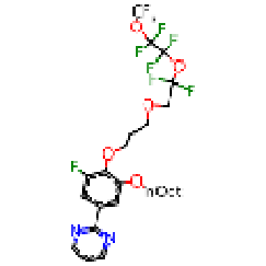 CCCCCCCCOc1cc(-c2ncccn2)cc(F)c1OCCCOCC(F)(F)OC(F)(F)C(F)(F)OC(F)(F)F